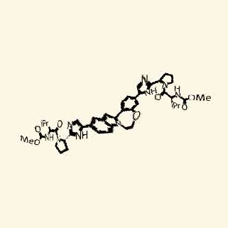 COC(=O)NC(C(=O)N1CCC[C@H]1c1ncc(-c2ccc3c(c2)cc2n3CCOc3cc(-c4cnc(C5CCCN5C(=O)[C@@H](NC(=O)OC)C(C)C)[nH]4)ccc3-2)[nH]1)C(C)C